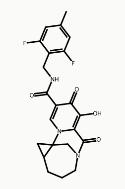 Cc1cc(F)c(CNC(=O)c2cn3c(c(O)c2=O)C(=O)N2CCCC4CC43C2)c(F)c1